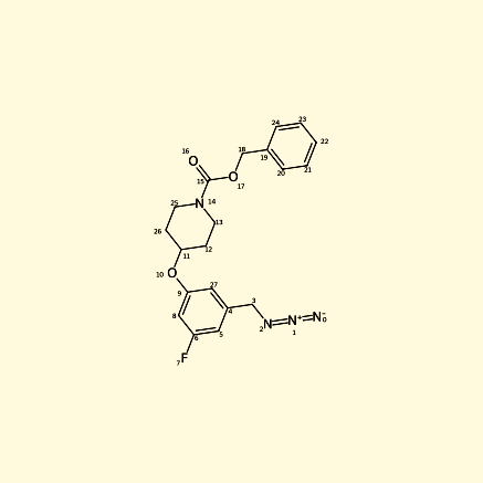 [N-]=[N+]=NCc1cc(F)cc(OC2CCN(C(=O)OCc3ccccc3)CC2)c1